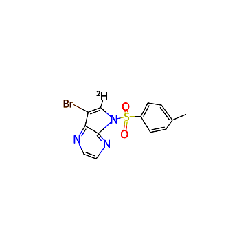 [2H]c1c(Br)c2nccnc2n1S(=O)(=O)c1ccc(C)cc1